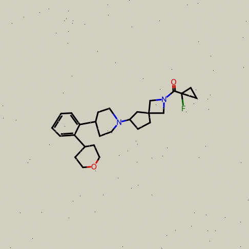 O=C(N1CC2(CCC(N3CCC(c4ccccc4C4CCOCC4)CC3)C2)C1)C1(F)CC1